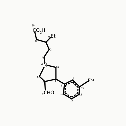 CCC(CCN1CC(C=O)C(c2cccc(F)c2)C1)CC(=O)O